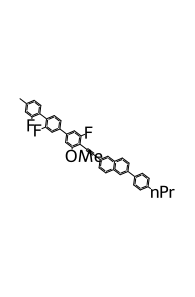 CCCc1ccc(-c2ccc3cc(C#Cc4c(F)cc(-c5ccc(-c6ccc(C)cc6F)c(F)c5)cc4OC)ccc3c2)cc1